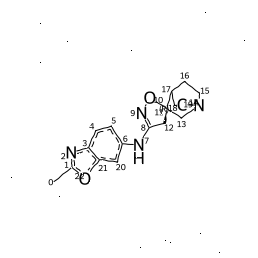 Cc1nc2ccc(NC3=NO[C@@]4(C3)CN3CCC4CC3)cc2o1